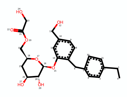 CCc1ccc(Cc2ccc(CO)cc2O[C@@H]2O[C@H](COC(=O)CO)C[C@H](O)[C@H]2O)cc1